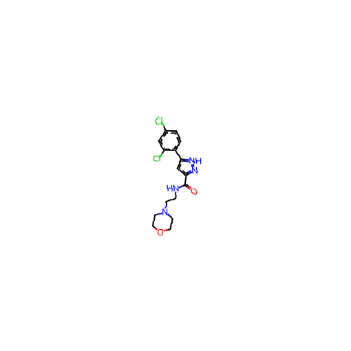 O=C(NCCN1CCOCC1)c1cc(-c2ccc(Cl)cc2Cl)[nH]n1